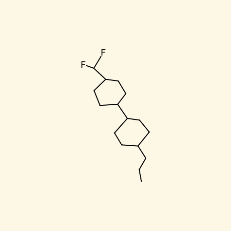 CCCC1CCC(C2CCC(C(F)F)CC2)CC1